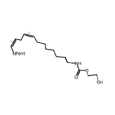 CCCCC/C=C\C/C=C\CCCCCCCNC(=O)OCCO